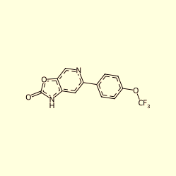 O=c1[nH]c2cc(-c3ccc(OC(F)(F)F)cc3)ncc2o1